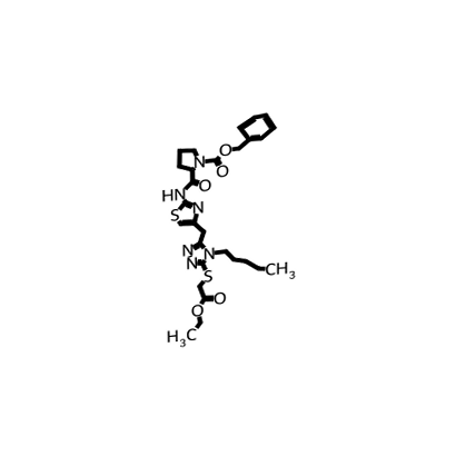 CCCCCn1c(Cc2csc(NC(=O)C3CCCN3C(=O)OCc3ccccc3)n2)nnc1SCC(=O)OCC